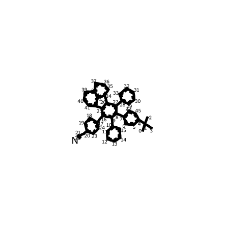 CC(C)(C)c1ccc(-c2c(-c3ccccc3)c(-c3ccc(C#N)cc3)c3c(c2-c2ccccc2)-c2cccc4cccc-3c24)cc1